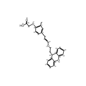 Cc1cc(CC=NOCCN2c3ccccc3Oc3ccccc32)ccc1OCC(=O)O